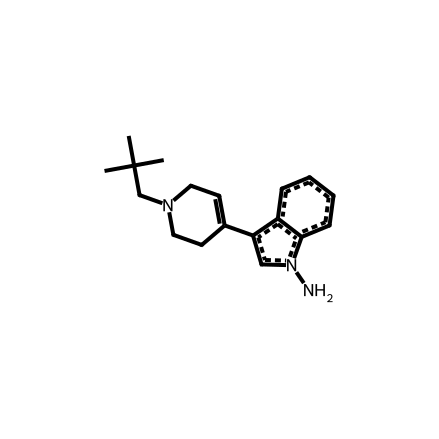 CC(C)(C)CN1CC=C(c2cn(N)c3ccccc23)CC1